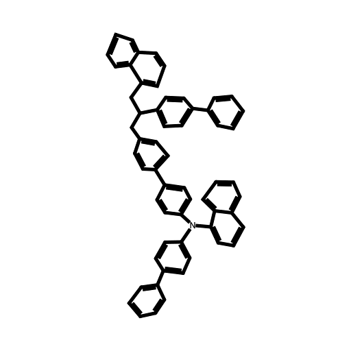 c1ccc(-c2ccc(C(Cc3ccc(-c4ccc(N(c5ccc(-c6ccccc6)cc5)c5cccc6ccccc56)cc4)cc3)Cc3cccc4ccccc34)cc2)cc1